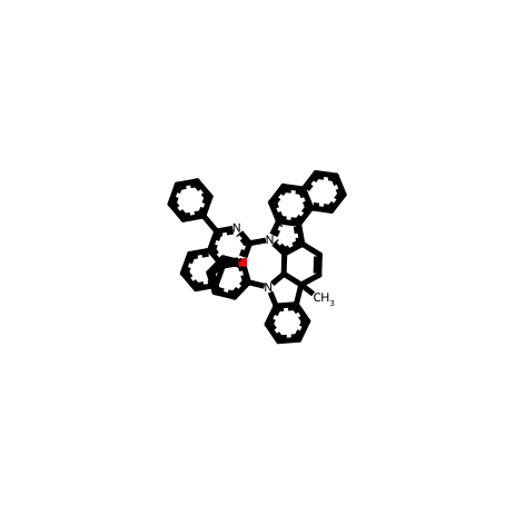 CC12C=Cc3c(n(-c4nc(-c5ccccc5)c5ccccc5n4)c4ccc5ccccc5c34)C1N(c1ccccc1)c1ccccc12